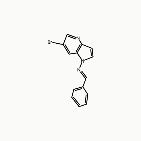 Brc1cnc2ccn(N=Cc3ccccc3)c2c1